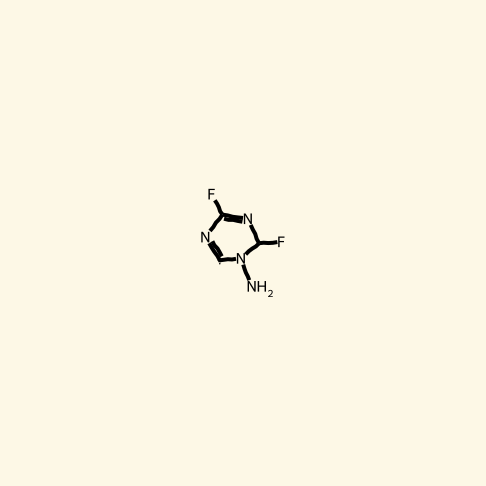 NN1[C]=NC(F)=NC1F